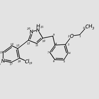 CCOc1ccccc1Cc1cc(-c2ccncc2Cl)n[nH]1